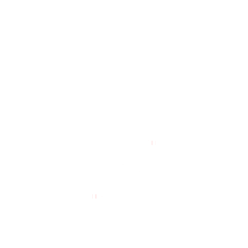 [O-][S+](CCO)CC(O)c1ccc(-c2ccccc2)cc1